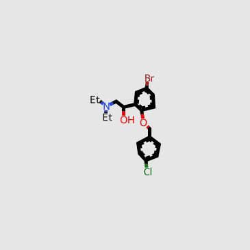 CCN(CC)CC(O)c1cc(Br)ccc1OCc1ccc(Cl)cc1